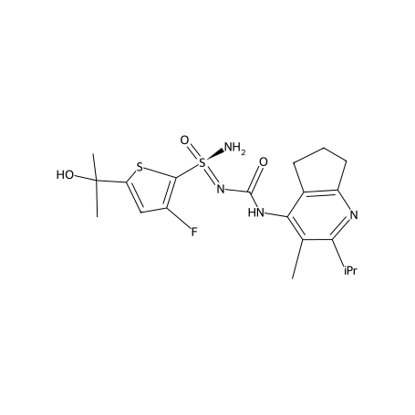 Cc1c(C(C)C)nc2c(c1NC(=O)N=[S@@](N)(=O)c1sc(C(C)(C)O)cc1F)CCC2